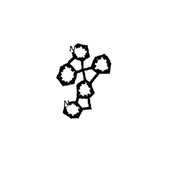 c1cnc2c(c1)Cc1cc3c(cc1-2)C1(c2ccccc2-3)c2ccccc2-c2ncccc21